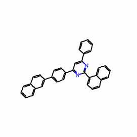 c1ccc(-c2cc(-c3ccc(-c4ccc5ccccc5c4)cc3)nc(-c3cccc4ccccc34)n2)cc1